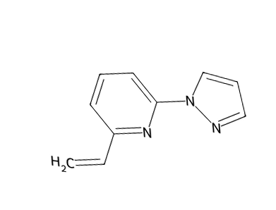 C=Cc1cccc(-n2cccn2)n1